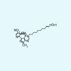 CCCCCCCC/C=C/CCCCCCCCn1cnc2c(c(-c3ncc([N+](=O)[O-])n3C)nn2C)c1=N